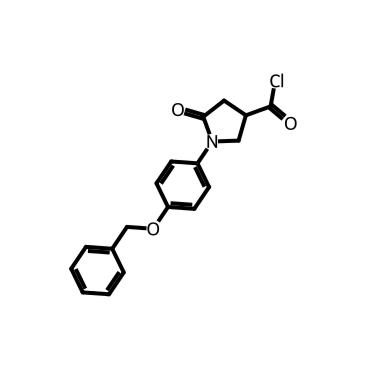 O=C(Cl)C1CC(=O)N(c2ccc(OCc3ccccc3)cc2)C1